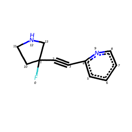 FC1(C#Cc2ccccn2)CCNC1